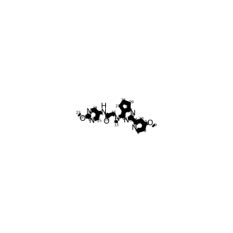 COc1ccnc(-c2nc3c(c(N(C)CC(=O)Nc4cnc(OC)nc4)n2)CC=C3)c1